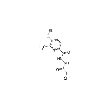 CCOc1ccc(C(=O)NNC(=O)CCl)nc1C